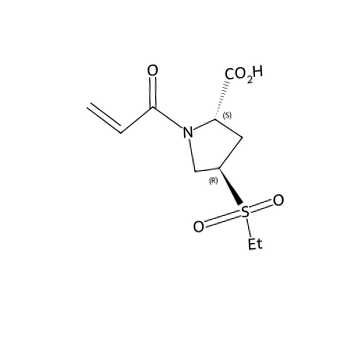 C=CC(=O)N1C[C@H](S(=O)(=O)CC)C[C@H]1C(=O)O